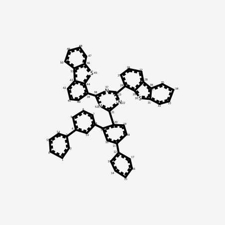 c1ccc(-c2cccc(-c3cc(-c4ccccc4)ccc3-c3nc(-c4cccc5c4sc4ccccc45)nc(-c4cccc5c4sc4ccccc45)n3)c2)cc1